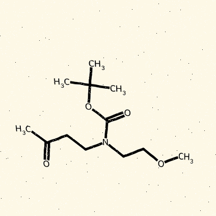 COCCN(CCC(C)=O)C(=O)OC(C)(C)C